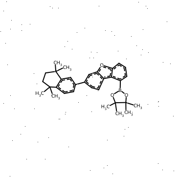 CC1(C)CCC(C)(C)c2cc(-c3ccc4c(c3)oc3cccc(B5OC(C)(C)C(C)(C)O5)c34)ccc21